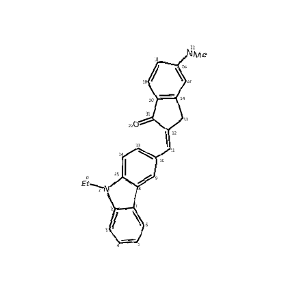 CCn1c2ccccc2c2cc(/C=C3/Cc4cc(NC)ccc4C3=O)ccc21